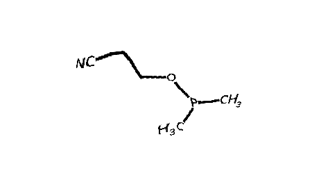 CP(C)OCCC#N